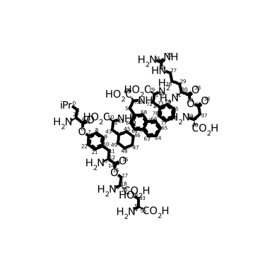 CC(C)C[C@H](N)C(=O)Oc1ccc(C[C@H](N)C(=O)OC[C@@H](N)C(=O)O)cc1.N=C(N)NCCC[C@@H](N)C(=O)OC(=O)C[C@@H](N)C(=O)O.N[C@@H](CC1CCCCC1)C(=O)O.N[C@@H](CO)C(=O)O.N[C@@H](Cc1ccc2ccccc2c1)C(=O)O.N[C@@H](Cc1ccccc1)C(=O)O